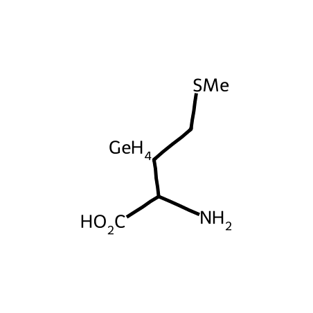 CSCCC(N)C(=O)O.[GeH4]